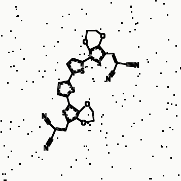 N#CC(C#N)=Cc1sc(-c2ccc(-c3ccc(-c4sc(C=C(C#N)C#N)c5c4OCCO5)s3)s2)c2c1OCCO2